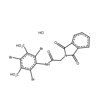 Cl.O=C(CN1C(=O)c2ccccc2C1=O)Nc1c(Br)c(C(=O)O)c(Br)c(C(=O)O)c1Br